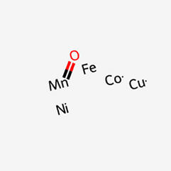 [Co].[Cu].[Fe].[Ni].[O]=[Mn]